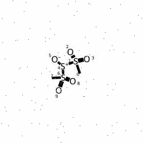 CS(=O)(=O)[S+]([O-])S(C)(=O)=O